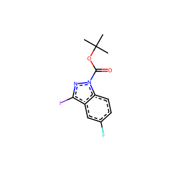 CC(C)(C)OC(=O)n1nc(I)c2cc(F)ccc21